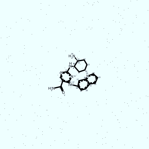 NC(=O)c1cnc(N[C@@H]2CCCC[C@@H]2N)nc1Nc1ccc2cccnc2c1